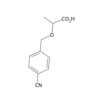 CC(OCc1ccc(C#N)cc1)C(=O)O